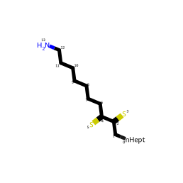 CCCCCCCCC(=S)C(=S)CCCCCCCN